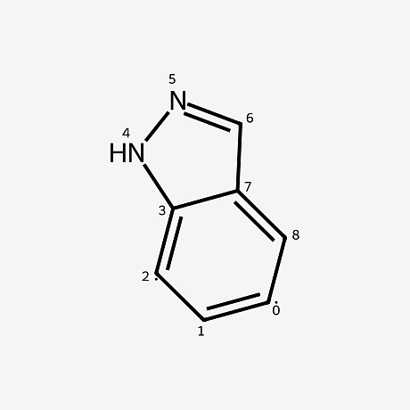 [c]1c[c]c2[nH]ncc2c1